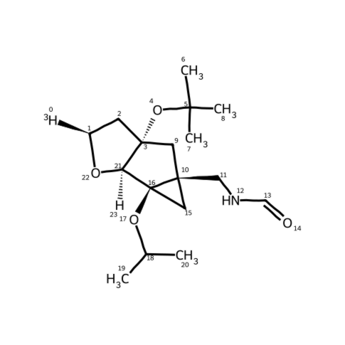 [3H][C@H]1C[C@@]2(OC(C)(C)C)C[C@]3(CNC=O)C[C@]3(OC(C)C)[C@H]2O1